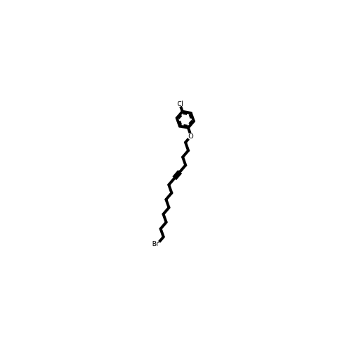 Clc1ccc(OCCCCC#CCCCCCCCCBr)cc1